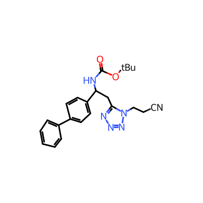 CC(C)(C)OC(=O)NC(Cc1nnnn1CCC#N)c1ccc(-c2ccccc2)cc1